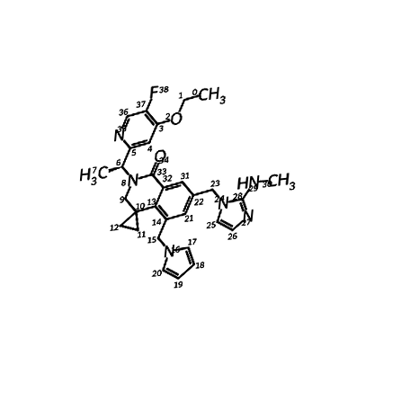 CCOc1cc([C@H](C)N2CC3(CC3)c3c(Cn4cccc4)cc(Cn4ccnc4NC)cc3C2=O)ncc1F